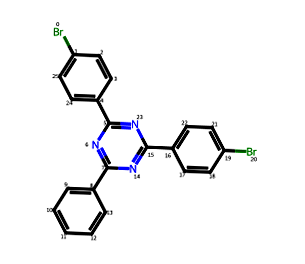 Brc1ccc(-c2nc(-c3ccccc3)nc(-c3ccc(Br)cc3)n2)cc1